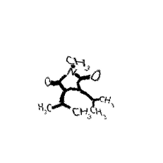 CC(C)=C1C(=O)N(C)C(=O)C1=C(C)C